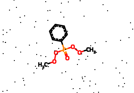 COOP(=O)(OOC)c1ccccc1